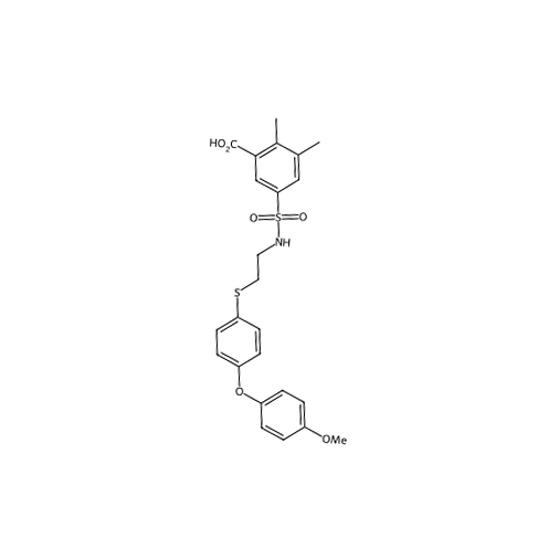 COc1ccc(Oc2ccc(SCCNS(=O)(=O)c3cc(C)c(C)c(C(=O)O)c3)cc2)cc1